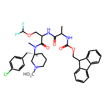 CC(NC(=O)OCC1c2ccccc2-c2ccccc21)C(=O)NC(COC(F)F)C(=O)N(C)[C@@]1(Cc2ccc(Cl)cc2)CCCN(C(=O)O)C1